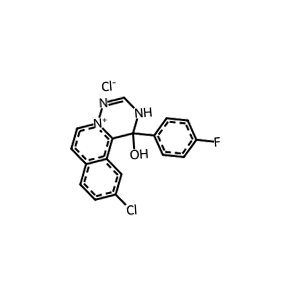 OC1(c2ccc(F)cc2)NC=N[n+]2ccc3ccc(Cl)cc3c21.[Cl-]